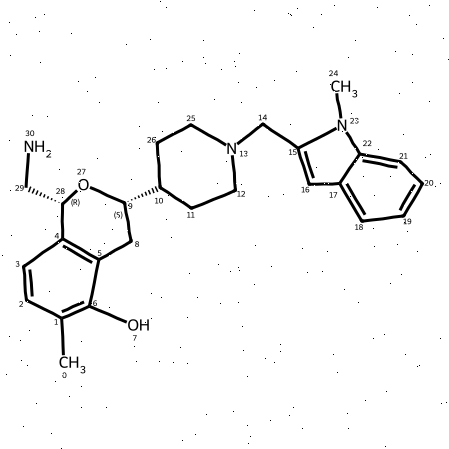 Cc1ccc2c(c1O)C[C@@H](C1CCN(Cc3cc4ccccc4n3C)CC1)O[C@H]2CN